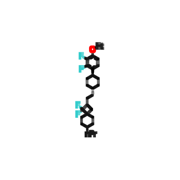 CCCC1CCC2(CC1)CC(CC[C@H]1CC[C@H](c3ccc(OCC)c(F)c3F)CC1)C2(F)F